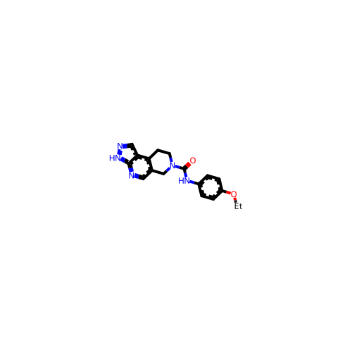 CCOc1ccc(NC(=O)N2CCc3c(cnc4[nH]ncc34)C2)cc1